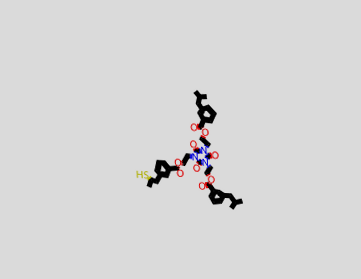 CC(C)Cc1cccc(C(=O)OCCn2c(=O)n(CCOC(=O)c3cccc(CC(C)C)c3)c(=O)n(CCOC(=O)c3cccc(CC(C)S)c3)c2=O)c1